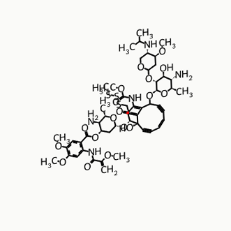 C=C(OC)C(=O)Nc1cc(OC)c(OC)cc1C(=O)O[C@@H]1C[C@@H](O[C@@H]2C(=O)C(NC(=O)OC)=C3/C(=C\CSSSC)[C@]2(O)C#C/C=C\C#CC3O[C@@H]2O[C@H](C)[C@@H](N)[C@H](O)[C@H]2OC2C[C@H](OC)[C@@H](NC(C)C)CO2)O[C@H](C)[C@@H]1N